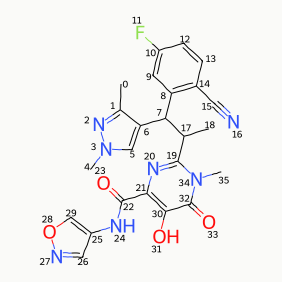 Cc1nn(C)cc1C(c1cc(F)ccc1C#N)C(C)c1nc(C(=O)Nc2cnoc2)c(O)c(=O)n1C